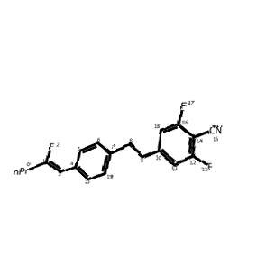 CCCC(F)=Cc1ccc(CCc2cc(F)c(C#N)c(F)c2)cc1